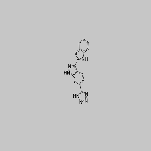 c1ccc2[nH]c(-c3n[nH]c4cc(-c5nnn[nH]5)ccc34)cc2c1